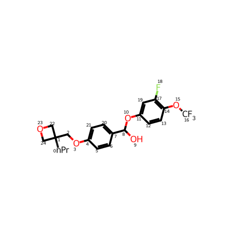 CCCC1(COc2ccc(C(O)Oc3ccc(OC(F)(F)F)c(F)c3)cc2)COC1